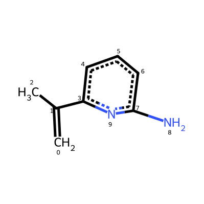 C=C(C)c1cccc(N)n1